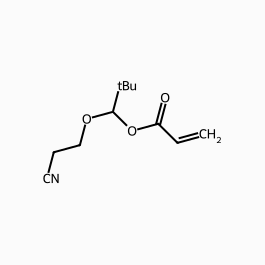 C=CC(=O)OC(OCCC#N)C(C)(C)C